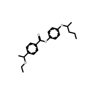 CCCC(C)Oc1ccc(OC(=O)c2ccc(C(C)OCC)cc2)cc1